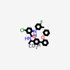 Cc1cc(Nc2ccc(Cl)cc2C(=O)NC(CC(=O)O)c2ccc(-c3ccccc3Oc3ccccc3)cc2)ccc1F